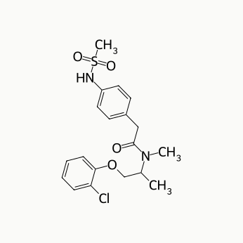 CC(COc1ccccc1Cl)N(C)C(=O)Cc1ccc(NS(C)(=O)=O)cc1